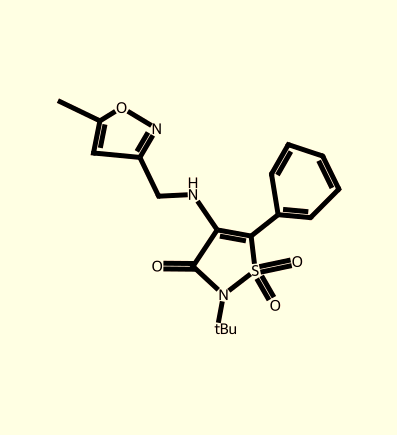 Cc1cc(CNC2=C(c3ccccc3)S(=O)(=O)N(C(C)(C)C)C2=O)no1